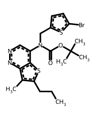 CCCc1sc2c(N(Cc3ccc(Br)s3)C(=O)OC(C)(C)C)cnnc2c1C